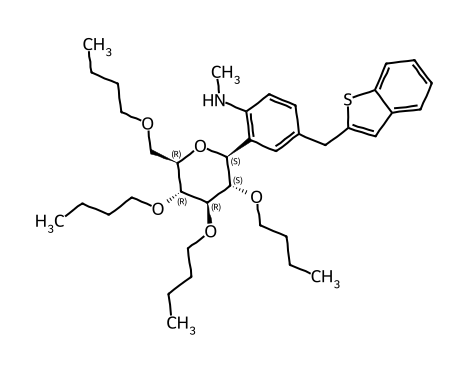 CCCCOC[C@H]1O[C@@H](c2cc(Cc3cc4ccccc4s3)ccc2NC)[C@H](OCCCC)[C@@H](OCCCC)[C@@H]1OCCCC